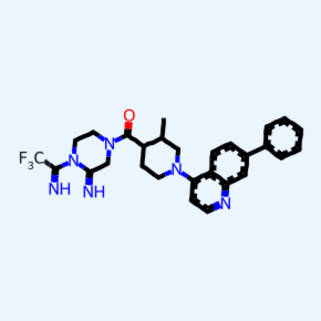 CC1CN(c2ccnc3cc(-c4ccccc4)ccc23)CCC1C(=O)N1CCN(C(=N)C(F)(F)F)C(=N)C1